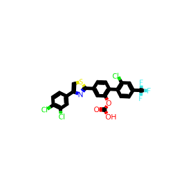 O=C(O)Oc1cc(-c2nc(-c3ccc(Cl)c(Cl)c3)cs2)ccc1-c1ccc(C(F)(F)F)cc1Cl